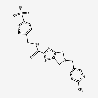 CCS(=O)(=O)c1ccc(CNC(=O)c2nc3c(s2)CN(Cc2ccc(C(F)(F)F)nc2)C3)cc1